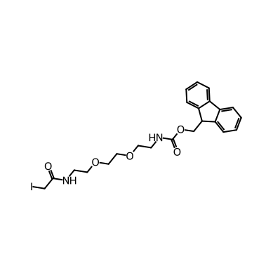 O=C(CI)NCCOCCOCCNC(=O)OCC1c2ccccc2-c2ccccc21